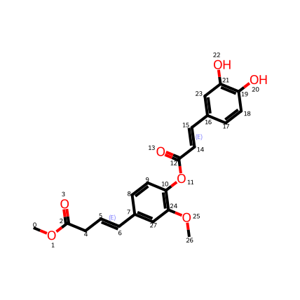 COC(=O)C/C=C/c1ccc(OC(=O)/C=C/c2ccc(O)c(O)c2)c(OC)c1